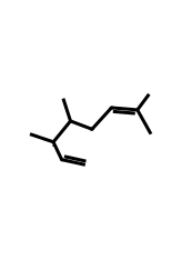 C=C[C](C)C(C)CC=C(C)C